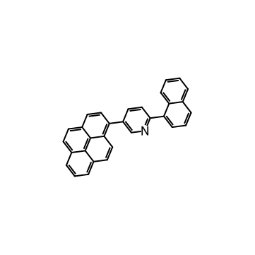 c1ccc2c(-c3ccc(-c4ccc5ccc6cccc7ccc4c5c67)cn3)cccc2c1